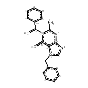 Nc1nc2ncn(Cc3ccccc3)c2c(=O)n1C(=O)c1ccccc1